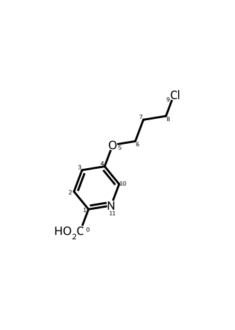 O=C(O)c1ccc(OCCCCl)cn1